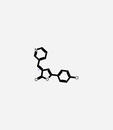 O=C1OC(c2ccc(Cl)cc2)=C/C1=C\c1cccnc1